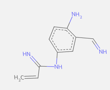 C=CC(=N)Nc1ccc(N)c(C=N)c1